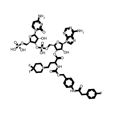 Nc1ccn([C@@H]2O[C@H](COP(=O)(O)O)[C@@H](OP(=O)(O)OC[C@H]3O[C@@H](n4cnc5c(N)ncnc54)[C@H](O)[C@@H]3OC(=O)C(CCN3CCC(F)(F)CC3)NC(=O)OCc3ccc(NC(=O)Cc4ccc(F)cc4)cc3)[C@H]2O)c(=O)n1